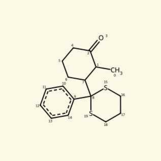 CC1C(=O)CCCC1C1(c2ccccc2)SCCCS1